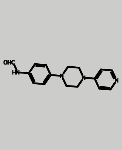 O=CNc1ccc(N2CCN(c3ccncc3)CC2)cc1